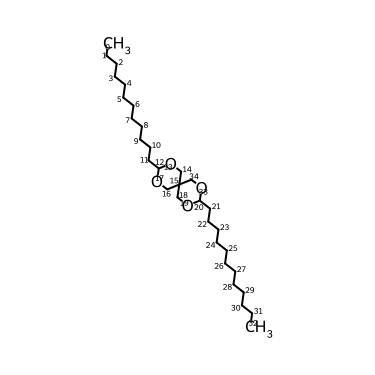 CCCCCCCCCCCCC1OCC2(CO1)COC(CCCCCCCCCCCC)OC2